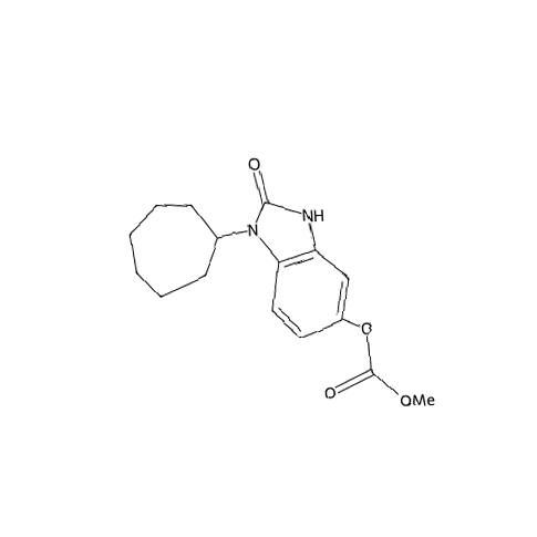 COC(=O)Oc1ccc2c(c1)[nH]c(=O)n2C1CCCCCC1